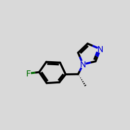 C[C@H](c1ccc(F)cc1)n1ccnc1